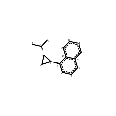 CC(C)[C@H]1C[C@@H]1c1cccc2cnccc12